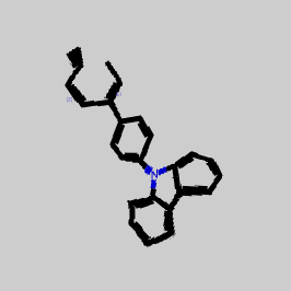 C=C/C=C\C(=C/C)c1ccc(-n2c3ccccc3c3ccccc32)cc1